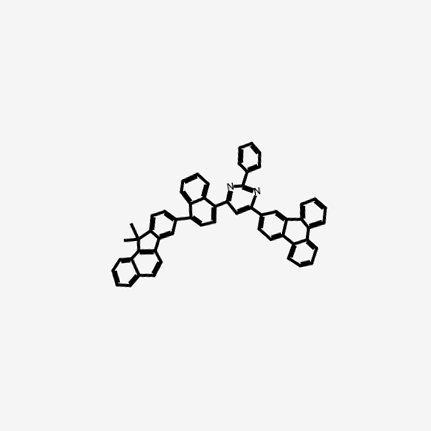 CC1(C)c2ccc(-c3ccc(-c4cc(-c5ccc6c7ccccc7c7ccccc7c6c5)nc(-c5ccccc5)n4)c4ccccc34)cc2-c2ccc3ccccc3c21